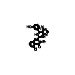 CC(C)n1c(CNc2ncnc(N)c2C(=N)c2cccc(O)c2)cc2cccc(Cl)c2c1=O